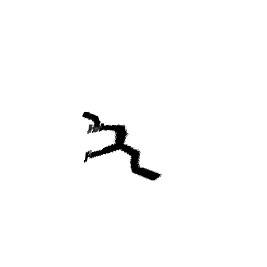 C=CCC(CF)CNCC